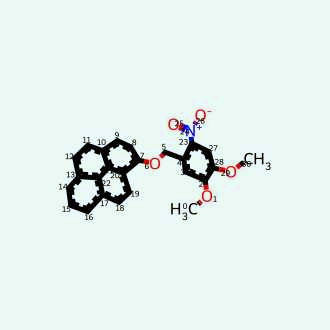 COc1cc(COc2ccc3ccc4cccc5ccc2c3c45)c([N+](=O)[O-])cc1OC